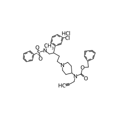 C#CCN(C(=O)OCc1ccccc1)C1CCN(CCC(CN(C)S(=O)(=O)c2ccccc2)c2cccc(Cl)c2)CC1.Cl